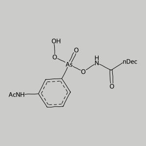 CCCCCCCCCCC(=O)NO[As](=O)(OO)c1cccc(NC(C)=O)c1